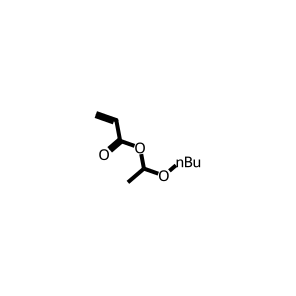 C=CC(=O)OC(C)OCCCC